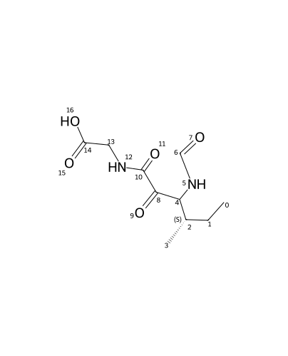 CC[C@H](C)C(NC=O)C(=O)C(=O)NCC(=O)O